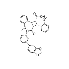 COc1ccccc1C1C(C(=O)Oc2cccc(-c3ccc4c(c3)OCO4)c2)[C@@H](c2ccccc2OC)[C@H]1C(=O)O